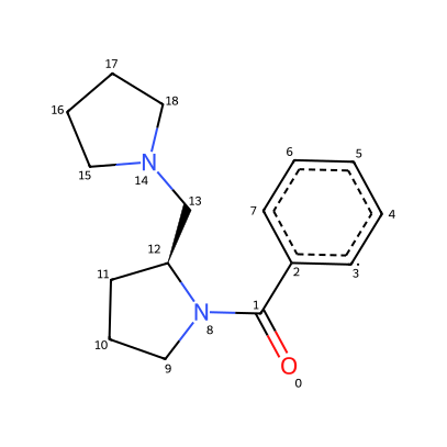 O=C(c1[c]cccc1)N1CCC[C@H]1CN1CCCC1